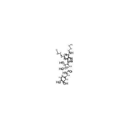 CCCCNc1nc(SCCC)nc2c1nnn2[C@@H]1C[C@H](C(=O)NCc2ccc(O)c(O)c2)[C@@H](O)[C@H]1O